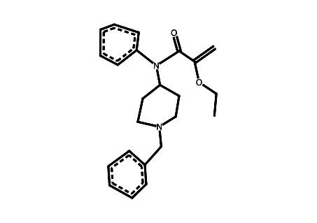 C=C(OCC)C(=O)N(c1ccccc1)C1CCN(Cc2ccccc2)CC1